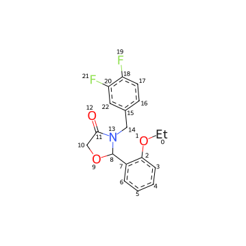 CCOc1ccccc1C1OCC(=O)N1Cc1ccc(F)c(F)c1